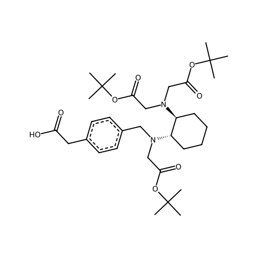 CC(C)(C)OC(=O)CN(CC(=O)OC(C)(C)C)[C@H]1CCCC[C@@H]1N(CC(=O)OC(C)(C)C)Cc1ccc(CC(=O)O)cc1